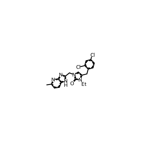 CCn1c(Cc2ccc(Cl)cc2Cl)cn(Cc2nc3nc(C)ccc3[nH]2)c1=O